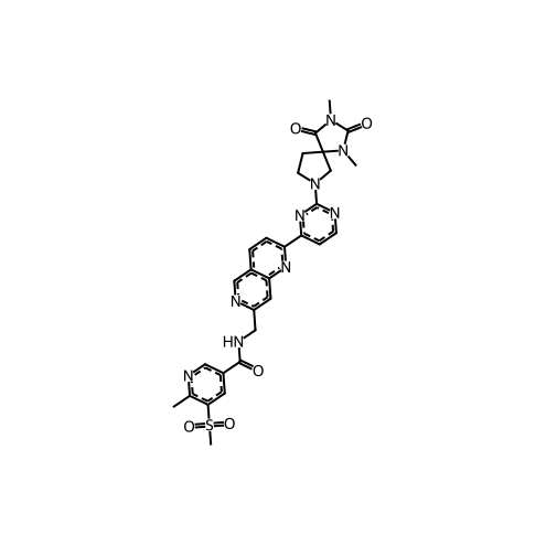 Cc1ncc(C(=O)NCc2cc3nc(-c4ccnc(N5CCC6(C5)C(=O)N(C)C(=O)N6C)n4)ccc3cn2)cc1S(C)(=O)=O